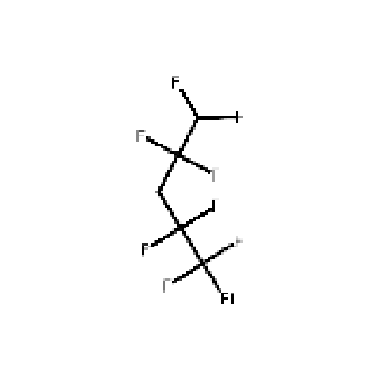 [CH2]CC(F)(F)C(F)(F)CC(F)(F)C(F)F